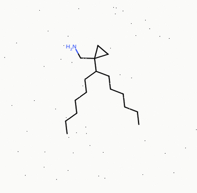 CCCCCCC(CCCCCC)C1(CN)CC1